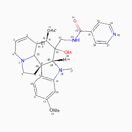 CC[C@]12C=CCN3CC[C@@]4(c5ccc(OC)cc5N(C)[C@H]4C(O)(CNC(=O)c4ccncc4)[C@@H]1OC(C)=O)C32